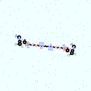 Cc1cc(S(=O)(=O)NCCOCCOCCNC(=O)NCCCCNC(=O)NCCOCCOCCNS(=O)(=O)c2cccc(O[C@H]3c4cc(Cl)cc(Cl)c4C[C@@H]3N3CCC[C@@H](N(C)C)C3)c2C)ccc1O[C@H]1c2cc(Cl)cc(Cl)c2C[C@@H]1N1CCC[C@@H](N(C)C)C1